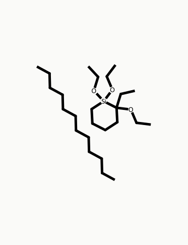 CCCCCCCCCCCC.CCOC1(CC)CCCC[Si]1(OCC)OCC